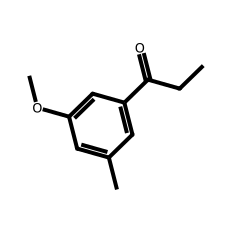 CCC(=O)c1cc(C)cc(OC)c1